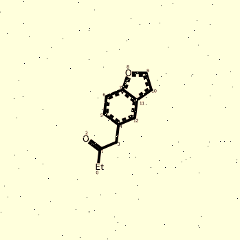 CCC(=O)Cc1ccc2occc2c1